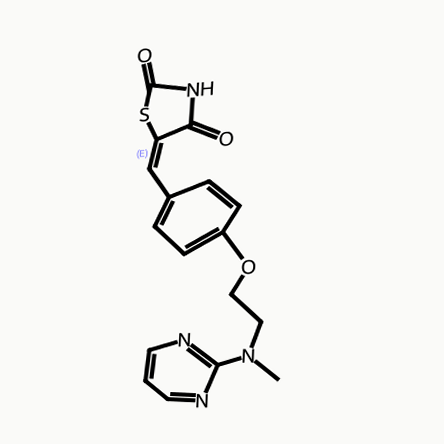 CN(CCOc1ccc(/C=C2/SC(=O)NC2=O)cc1)c1ncccn1